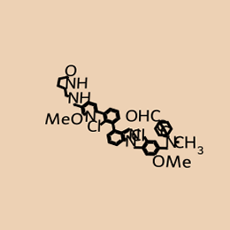 COc1cc(Cn2ncc3c(-c4cccc(-c5ccc(CNCC6CCC(=O)N6)c(OC)n5)c4Cl)cccc32)c(Cl)cc1CN(C)C12CCC(C=O)(CC1)CC2